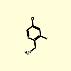 NCc1ncc(Cl)cc1F